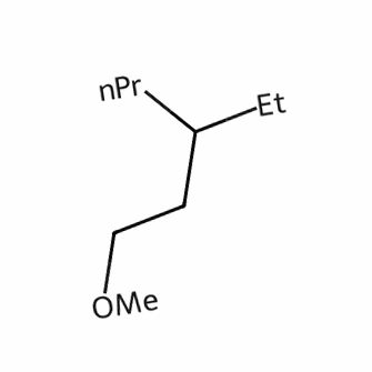 [CH2]OCCC(CC)CCC